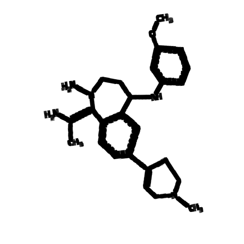 COc1cccc(NC2CCN(N)/C(=C(/C)N)c3ccc(C4=CCN(C)CC4)cc32)c1